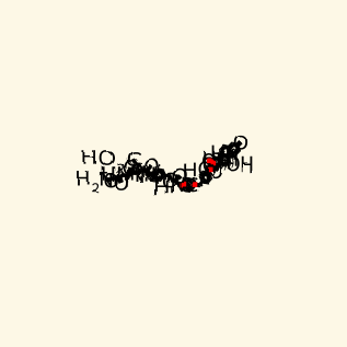 C[C@]12C=CC(=O)C=C1CC[C@@H]1[C@@H]2[C@@H](O)C[C@@]2(C)[C@H]1C[C@H]1O[C@@H](c3ccc(CC45CCC(NC(=O)OCc6ccc(NC(=O)[C@H](CCC(=O)O)NC(=O)CNC(=O)CON)cc6)(CC4)CC5)cc3)O[C@]12C(=O)CO